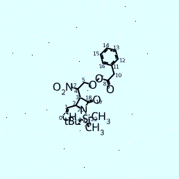 C=CC1C(C(COOC(=O)Cc2ccccc2)[N+](=O)[O-])C(=O)N1[Si](C)(C)C(C)(C)C